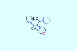 CC(C(C(C)N1CCSCC1)N1CCOCC1)N1CCCCC1